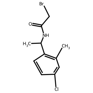 Cc1cc(Cl)ccc1C(C)NC(=O)CBr